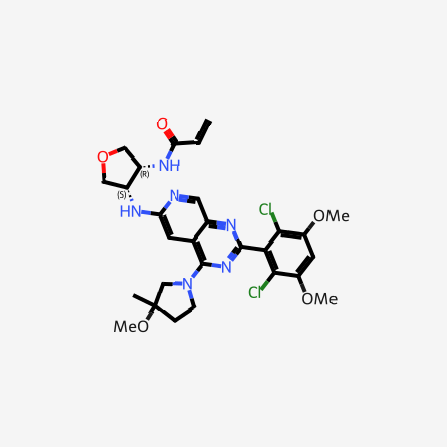 C=CC(=O)N[C@H]1COC[C@H]1Nc1cc2c(N3CCC(C)(OC)C3)nc(-c3c(Cl)c(OC)cc(OC)c3Cl)nc2cn1